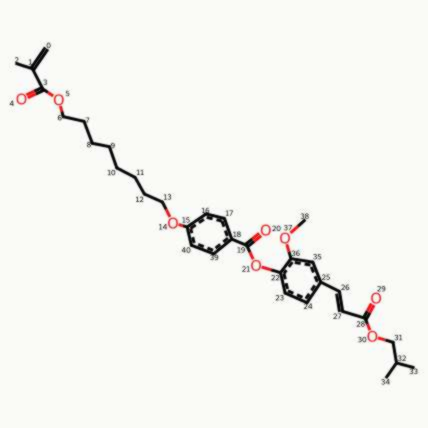 C=C(C)C(=O)OCCCCCCCCOc1ccc(C(=O)Oc2ccc(/C=C/C(=O)OCC(C)C)cc2OC)cc1